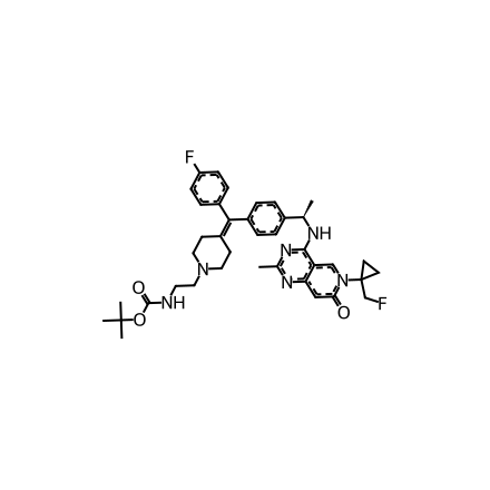 Cc1nc(N[C@H](C)c2ccc(C(=C3CCN(CCNC(=O)OC(C)(C)C)CC3)c3ccc(F)cc3)cc2)c2cn(C3(CF)CC3)c(=O)cc2n1